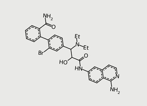 CCN(CC)C(c1ccc(-c2ccccc2C(N)=O)c(Br)c1)C(O)C(=O)Nc1ccc2c(N)nccc2c1